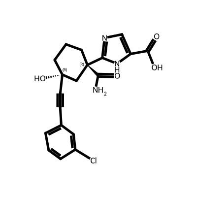 NC(=O)[C@]1(c2ncc(C(=O)O)[nH]2)CCC[C@](O)(C#Cc2cccc(Cl)c2)C1